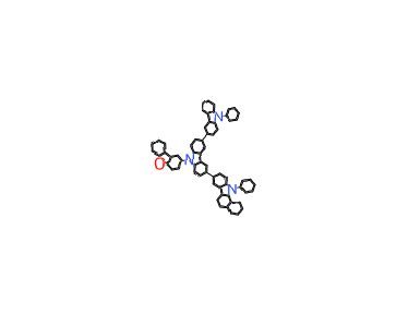 c1ccc(-n2c3ccccc3c3cc(-c4ccc5c(c4)c4cc(-c6ccc7c(c6)c6ccc8ccccc8c6n7-c6ccccc6)ccc4n5-c4ccc5oc6ccccc6c5c4)ccc32)cc1